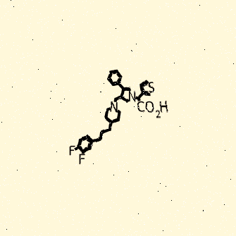 O=C(O)C(c1ccsc1)N1CC(CN2CCC(CCCc3ccc(F)c(F)c3)CC2)C(c2ccccc2)C1